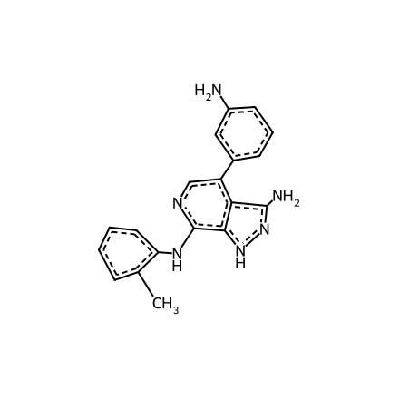 Cc1ccccc1Nc1ncc(-c2cccc(N)c2)c2c(N)n[nH]c12